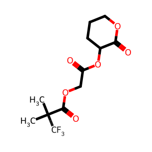 CC(C)(C(=O)OCC(=O)OC1CCCOC1=O)C(F)(F)F